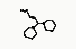 O=C(O)C=CC(N1CCCCC1)N1CCCCC1